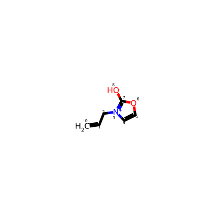 C=CC[n+]1ccoc1O